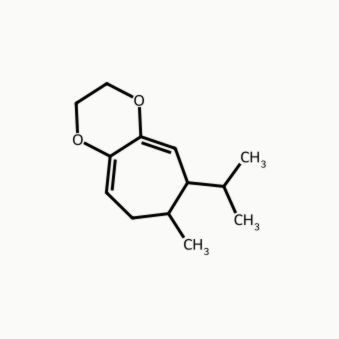 CC(C)C1C=C2OCCOC2=CCC1C